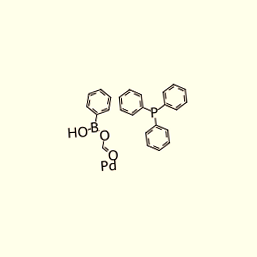 O=COB(O)c1ccccc1.[Pd].c1ccc(P(c2ccccc2)c2ccccc2)cc1